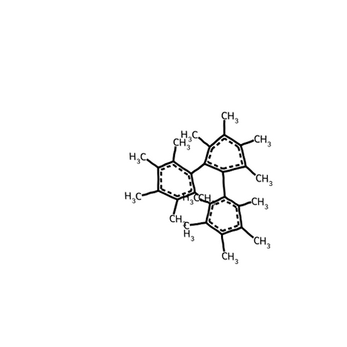 Cc1c(C)c(C)c(-c2c(C)c(C)c(C)c(C)c2-c2c(C)c(C)c(C)c(C)c2C)c(C)c1C